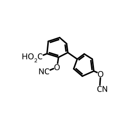 N#COc1ccc(-c2cccc(C(=O)O)c2OC#N)cc1